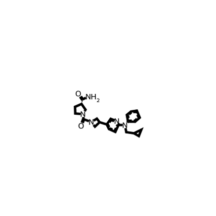 NC(=O)[C@H]1CCN(C(=O)N2CC(c3ccc(N(CC4CC4)c4ccccc4)nc3)C2)C1